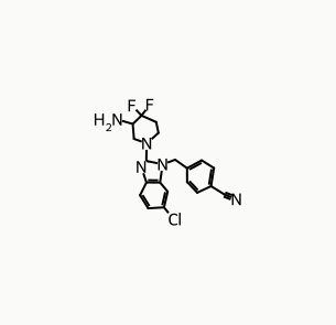 N#Cc1ccc(Cn2c(N3CCC(F)(F)C(N)C3)nc3ccc(Cl)cc32)cc1